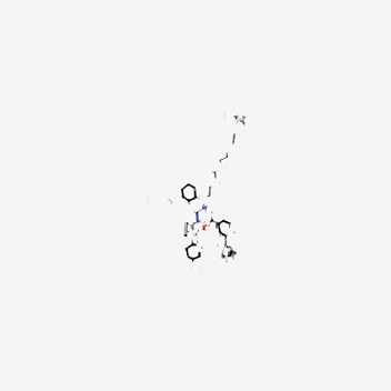 C=C(/N=C(OCCOC(=O)OCCOCCON(O)O)\C(Oc1ccccc1OC)=C(/N)NS(=O)(=O)c1ccc(C)cn1)c1ccnc(-c2nnn[nH]2)c1